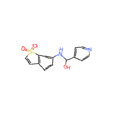 O=S1(=O)C=Cc2ccc(NC(O)c3ccncc3)cc21